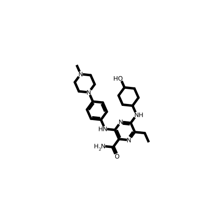 CCc1nc(C(N)=O)c(Nc2ccc(N3CCN(C)CC3)cc2)nc1NC1CCC(O)CC1